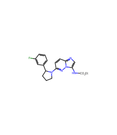 CCOC(=O)Nc1cnc2ccc(N3CCCC3c3cccc(F)c3)nn12